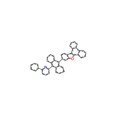 c1ccc(-c2cccc(-c3c4ccccc4c(-c4ccc5c(c4)oc4c6ccccc6c6ccccc6c54)c4ccccc34)n2)cc1